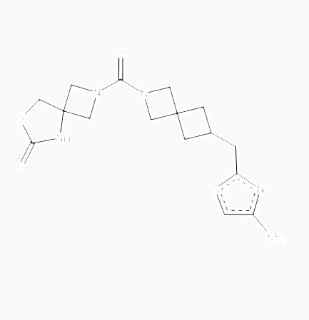 O=C1NC2(CO1)CN(C(=O)N1CC3(CC(Cc4nc(C(F)(F)F)cs4)C3)C1)C2